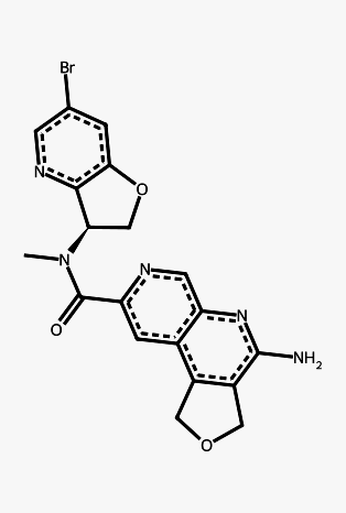 CN(C(=O)c1cc2c3c(c(N)nc2cn1)COC3)[C@@H]1COc2cc(Br)cnc21